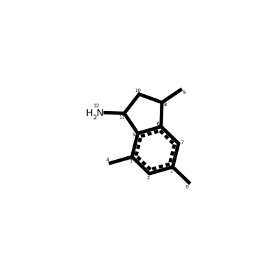 Cc1cc(C)c2c(c1)C(C)CC2N